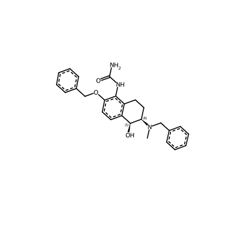 CN(Cc1ccccc1)[C@@H]1CCc2c(ccc(OCc3ccccc3)c2NC(N)=O)[C@@H]1O